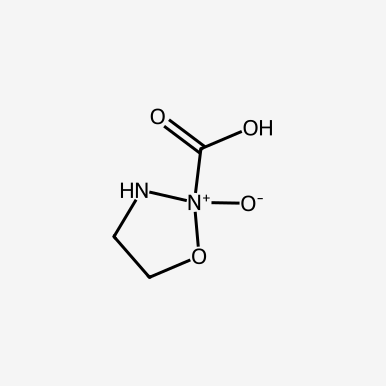 O=C(O)[N+]1([O-])NCCO1